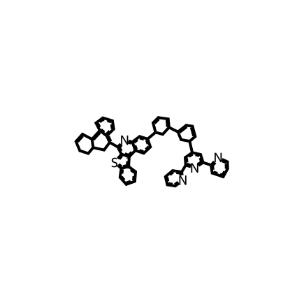 C1=CC(c2cc(-c3ccccn3)nc(-c3ccccn3)c2)CC(C2=CC=CC(c3ccc4c(c3)nc(C3=c5ccccc5=C5C=CCCC5C3)c3sc5ccccc5c34)C2)=C1